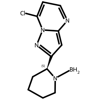 BN1CCCC[C@H]1c1cc2nccc(Cl)n2n1